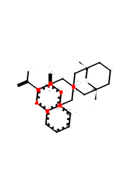 O=C(O)c1nc2ccccc2n([C@H]2C[C@H]3CCC[C@@H](C2)N3[C@H]2C[C@@H]3CCC[C@@H](C3)C2)c1=O